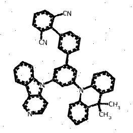 CC1(C)c2ccccc2N(c2cc(-c3cccc(-c4c(C#N)cccc4C#N)c3)cc(-n3c4ccccc4c4cnccc43)c2)c2ccccc21